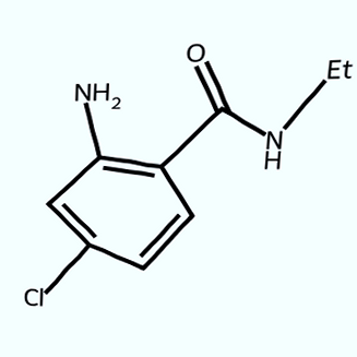 CCNC(=O)c1ccc(Cl)cc1N